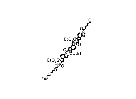 CCOCCOCCOCCNC(=O)c1cc2c3c(ccc2n1C(=O)OCC)N(C(=O)c1cc2c4c(ccc2n1C(=O)OCC)N(C(=O)c1cc2c5c(ccc2n1C(=O)OCC)N(C(=O)CCCCCO)CC5)CC4)CC3